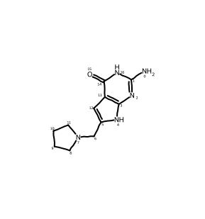 Nc1nc2[nH]c(CN3CCCC3)cc2c(=O)[nH]1